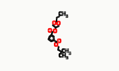 CCCC1OCC(OC(=O)c2cccc(C(=O)OCCC(C)C)c2)CO1